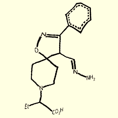 CCC(C(=O)O)N1CCC2(CC1)ON=C(c1ccccc1)C2C=NN